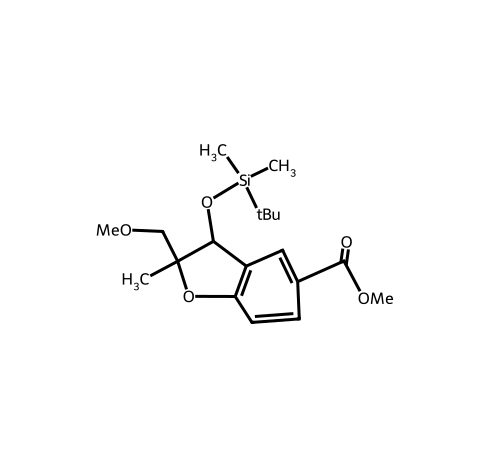 COCC1(C)Oc2ccc(C(=O)OC)cc2C1O[Si](C)(C)C(C)(C)C